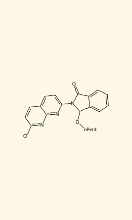 CCCCCOC1c2ccccc2C(=O)N1c1ccc2ccc(Cl)nc2n1